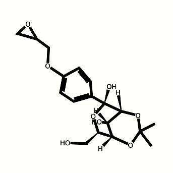 CC1(C)O[C@H]2[C@H](O)[C@@H](O1)[C@@](O)(c1ccc(OCC3CO3)cc1)O[C@@H]2CO